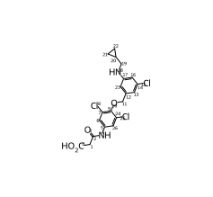 O=C(O)CC(=O)Nc1cc(Cl)c(OCc2cc(Cl)cc(NCC3CC3)c2)c(Cl)c1